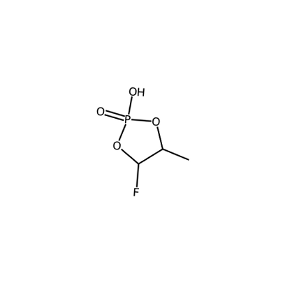 CC1OP(=O)(O)OC1F